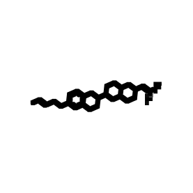 CC=CCCc1ccc2c(c1)CCC(C1CCC3CC(C=C(F)F)CCC3C1)C2